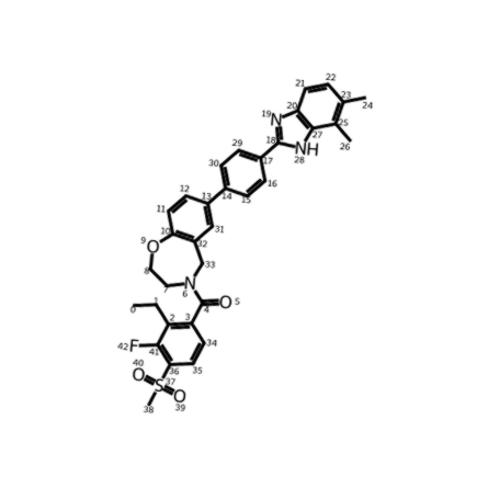 CCc1c(C(=O)N2CCOc3ccc(-c4ccc(-c5nc6ccc(C)c(C)c6[nH]5)cc4)cc3C2)ccc(S(C)(=O)=O)c1F